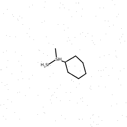 C[SiH]([SiH3])C1CCCCC1